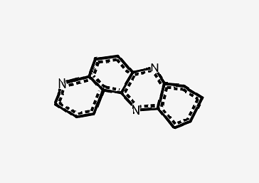 c1ccc2nc3c(ccc4ncccc43)nc2c1